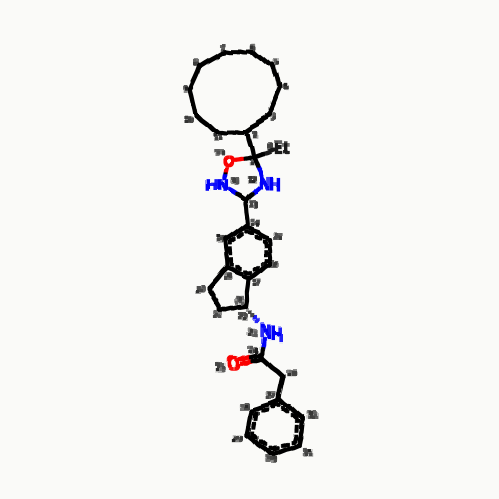 CCC1(C2CCCCCCCCC2)NC(c2ccc3c(c2)CC[C@H]3NC(=O)Cc2ccccc2)NO1